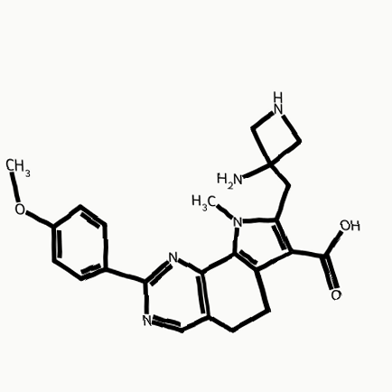 COc1ccc(-c2ncc3c(n2)-c2c(c(C(=O)O)c(CC4(N)CNC4)n2C)CC3)cc1